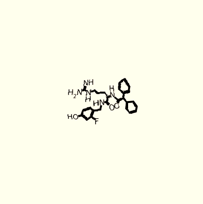 N=C(N)NCCC[C@@H](NC(=O)C(c1ccccc1)c1ccccc1)C(=O)NCc1ccc(O)cc1F